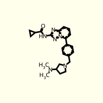 CN(C)C1CCN(Cc2ccc(-c3cccc4nc(NC(=O)C5CC5)nn34)cc2)C1